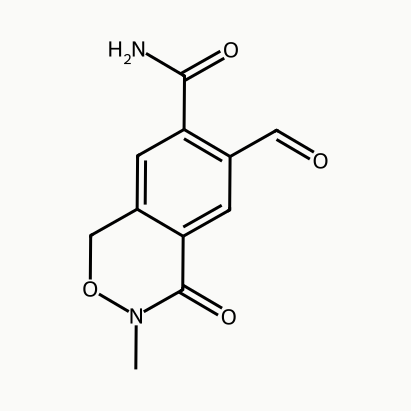 CN1OCc2cc(C(N)=O)c(C=O)cc2C1=O